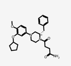 COc1ccc(N2CCN(C(=O)CCC(N)=O)[C@@H](Cc3ccccc3)C2)cc1OC1CCCC1